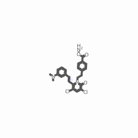 CN(C)c1cccc(/C=C/c2c(Cl)cc(Cl)c(=O)n2CCc2ccc(C(=O)ON)cc2)c1